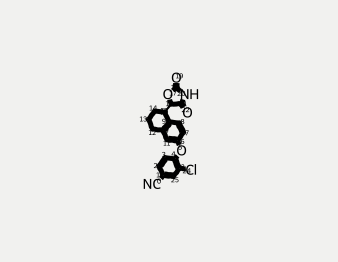 N#Cc1ccc(Oc2ccc3c(c2)CCC[C@H]3C2OC(=O)NC2=O)c(Cl)c1